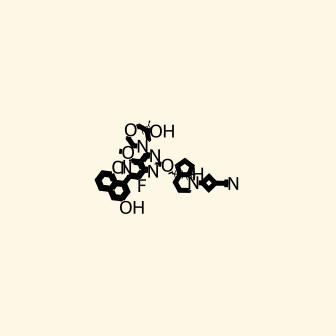 COc1nc(-c2cc(O)cc3cccc(Cl)c23)c(F)c2nc(OC[C@]34CCC[C@H]3N(C3CC(C#N)C3)CCC4)nc(N3CCOC[C@@](C)(O)C3)c12